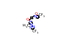 C[C@@H]1CN(C(=O)C2CC(Cn3cccc(C(F)(F)F)c3=O)C2)CCN1c1ncc(C(F)(F)F)cn1